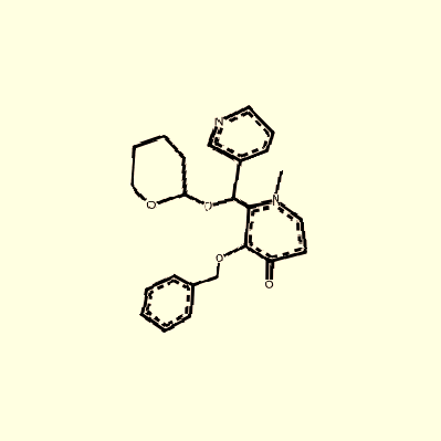 Cn1ccc(=O)c(OCc2ccccc2)c1C(OC1CCCCO1)c1cccnc1